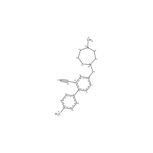 Cc1ccc(-c2ccc(CN3CCCN(C)CC3)cc2C#N)cc1